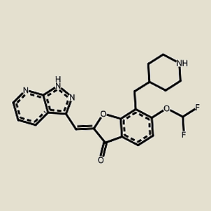 O=C1C(=Cc2n[nH]c3ncccc23)Oc2c1ccc(OC(F)F)c2CC1CCNCC1